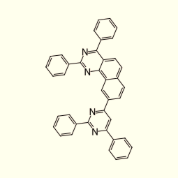 c1ccc(-c2cc(-c3ccc4ccc5c(-c6ccccc6)nc(-c6ccccc6)nc5c4c3)nc(-c3ccccc3)n2)cc1